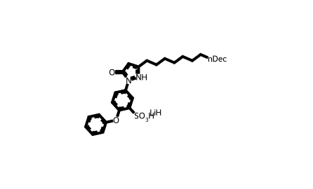 CCCCCCCCCCCCCCCCCc1cc(=O)n(-c2ccc(Oc3ccccc3)c(S(=O)(=O)O)c2)[nH]1.[LiH]